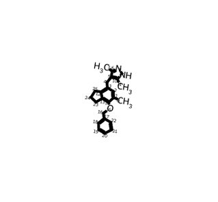 Cc1cc(Cc2c(C)n[nH]c2C)c2c(c1OCc1ccccc1)CCC2